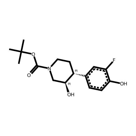 CC(C)(C)OC(=O)N1CC[C@H](c2ccc(O)c(F)c2)[C@@H](O)C1